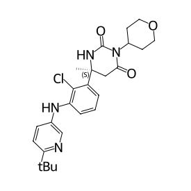 CC(C)(C)c1ccc(Nc2cccc([C@]3(C)CC(=O)N(C4CCOCC4)C(=O)N3)c2Cl)cn1